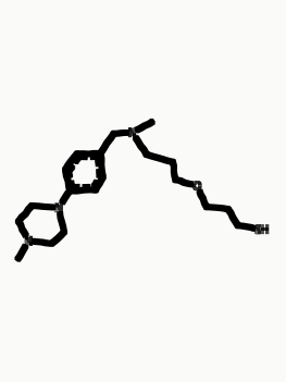 CN1CCN(c2ccc(CN(C)CCCOCCCS)cc2)CC1